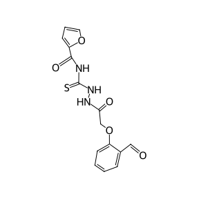 O=Cc1ccccc1OCC(=O)NNC(=S)NC(=O)c1ccco1